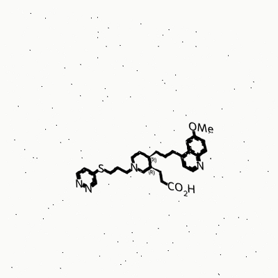 COc1ccc2nccc(CCC[C@@H]3CCN(CCCSc4ccnnc4)C[C@@H]3CCC(=O)O)c2c1